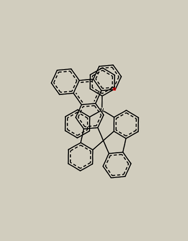 c1ccc(N(c2ccccc2)c2cccc3c2C2(c4ccccc4-c4cc5c6ccccc6c6ccccc6c5cc42)c2ccccc2-3)cc1